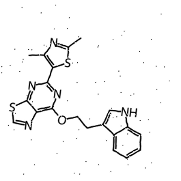 Cc1nc(C)c(-c2nc(OCCc3c[nH]c4ccccc34)c3ncsc3n2)s1